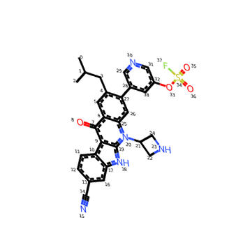 CC(C)Cc1cc2c(=O)c3c4ccc(C#N)cc4[nH]c3n(C3CNC3)c2cc1-c1cncc(OS(=O)(=O)F)c1